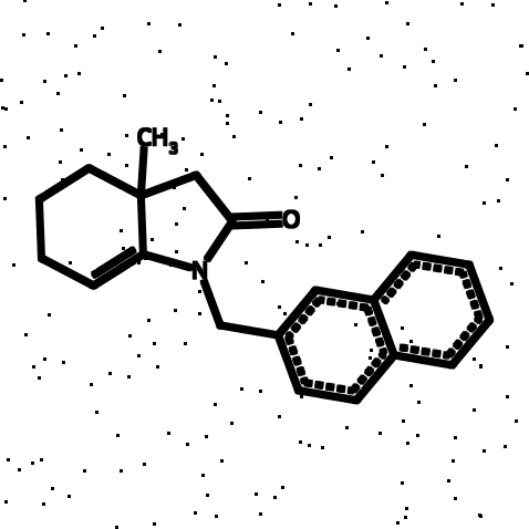 CC12CCCC=C1N(Cc1ccc3ccccc3c1)C(=O)C2